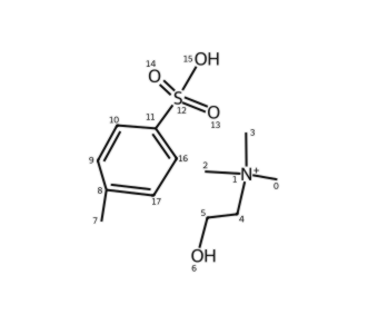 C[N+](C)(C)CCO.Cc1ccc(S(=O)(=O)O)cc1